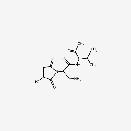 CC(=O)C(NC(=O)C(CN)N1C(=O)CC(S)C1=O)C(C)C